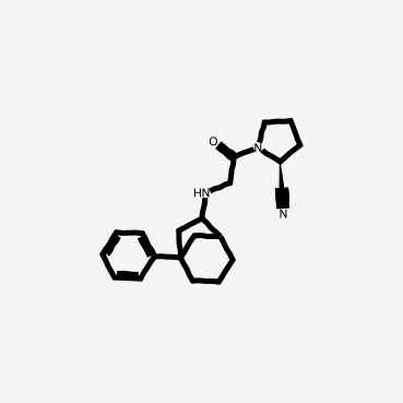 N#C[C@@H]1CCCN1C(=O)CNC1CC2(c3ccccc3)CCCC1C2